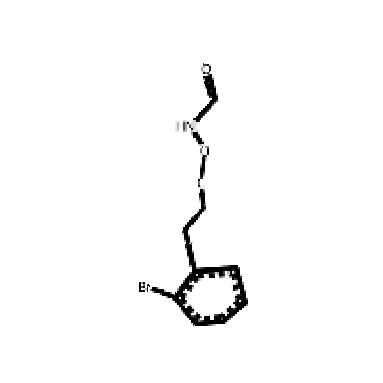 O=CNOCCCc1ccccc1Br